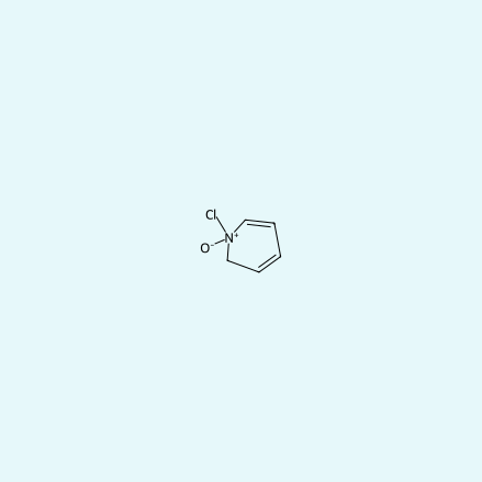 [O-][N+]1(Cl)C=CC=CC1